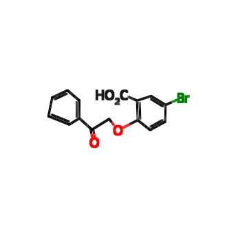 O=C(COc1ccc(Br)cc1C(=O)O)c1ccccc1